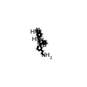 NCCC1CCCN(c2nc(Nc3ccc4cn[nH]c4c3)nc3ccoc23)C1